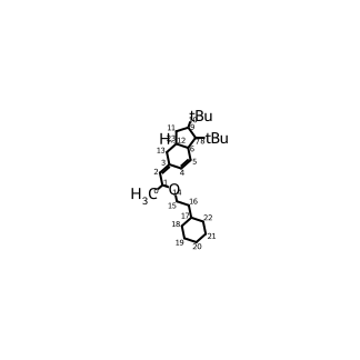 CC(/C=C1\C=CC2C(C(C)(C)C)C(C(C)(C)C)C[C@@H]2C1)OCCC1CCCCC1